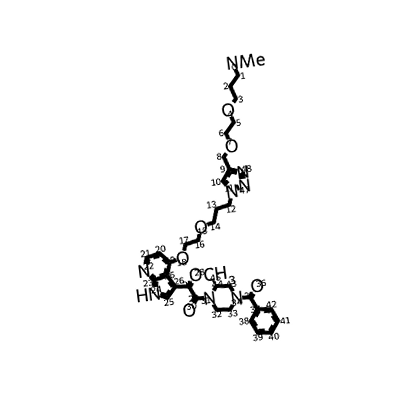 CNCCCOCCOCc1cn(CCCOCCOc2ccnc3[nH]cc(C(=O)C(=O)N4CCN(C(=O)c5ccccc5)C[C@H]4C)c23)nn1